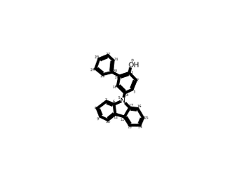 Oc1ccc(-n2c3ccccc3c3ccccc32)cc1-c1ccccc1